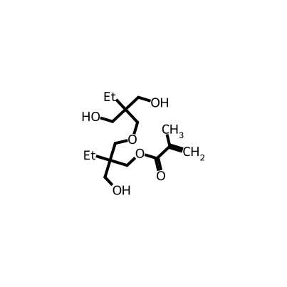 C=C(C)C(=O)OCC(CC)(CO)COCC(CC)(CO)CO